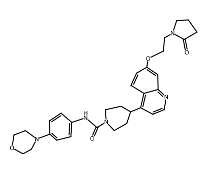 O=C1CCCN1CCOc1ccc2c(C3CCN(C(=O)Nc4ccc(N5CCOCC5)cc4)CC3)ccnc2c1